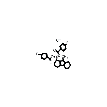 CC1C2=C(CCCC2)C2=C1[CH]([Ti+]([O]C(=O)c1ccc(F)cc1)[O]C(=O)c1ccc(F)cc1)CCC2.[Cl-]